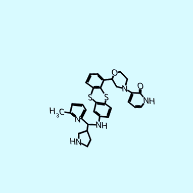 Cc1cccc(C(Nc2ccc3c(c2)Sc2cccc(C4CN(c5ccc[nH]c5=O)CCO4)c2S3)C2CCNC2)n1